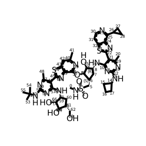 CNS(=O)(=O)C[C@H]1C[C@@H](Nc2nc(NC3CCC3)nc(C)c2-c2nc3c(C4CC4)nccc3s2)[C@H](O)[C@@H]1Oc1nc(C)cc2sc(-c3c(C)nc(NC(C)(C)C)nc3N[C@@H]3C[C@H](CO)[C@@H](O)[C@H]3O)nc12